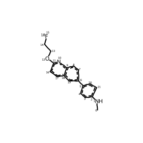 CNc1ccc(-c2ccc3nc(OCC[18F])ccc3c2)cc1